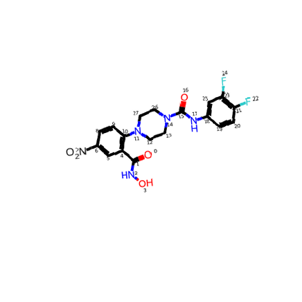 O=C(NO)c1cc([N+](=O)[O-])ccc1N1CCN(C(=O)Nc2ccc(F)c(F)c2)CC1